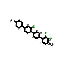 CCCC1CCC(c2ccc(-c3ccc(-c4ccc(C)c(F)c4F)cc3)c(F)c2)CC1